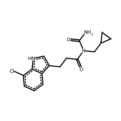 NC(=O)N(CC1CC1)C(=O)CCc1c[nH]c2c(Cl)cccc12